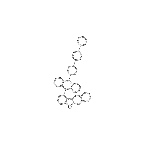 c1ccc(-c2ccc(-c3ccc(-c4c5ccccc5c(-c5cccc6oc7cc8ccccc8cc7c56)c5ccccc45)cc3)cc2)cc1